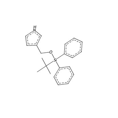 CC(C)(C)[Si](OCc1cc[nH]c1)(c1ccccc1)c1ccccc1